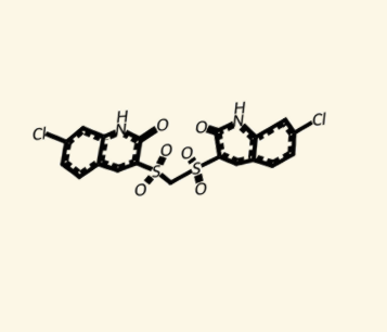 O=c1[nH]c2cc(Cl)ccc2cc1S(=O)(=O)CS(=O)(=O)c1cc2ccc(Cl)cc2[nH]c1=O